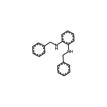 c1ccc(CNc2ccccc2NCc2ccccc2)cc1